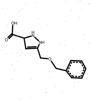 O=C(O)C1C=C(COCc2ccccc2)NN1